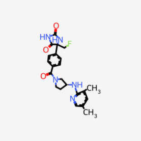 Cc1cnc(N[C@H]2CCN(C(=O)c3ccc(C4(CF)NC(=O)NC4=O)cc3)C2)c(C)c1